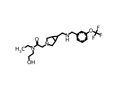 CCN(CCO)C(=O)CN1CC2C(CNCc3cccc(OC(F)(F)F)c3)C2C1